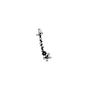 CC(=O)NCCOCCOCCOCCOc1ccc(-n2c(=O)[nH][nH]c2=O)cc1